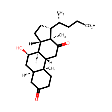 C[C@H](CCC(=O)O)[C@H]1CC[C@H]2[C@@H]3[C@H](O)C[C@@H]4CC(=O)CC[C@]4(C)[C@H]3CC(=O)[C@]12C